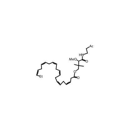 CC/C=C\C/C=C\C/C=C\C/C=C\C/C=C\C/C=C\CC(=O)OCC(C)(C)[C@@H](OC)C(=O)NCCC(C)=O